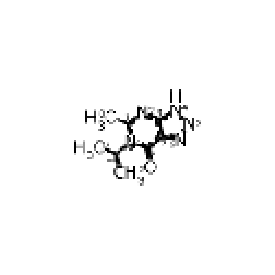 Cc1nc2[nH]nnc2c(=O)n1C(C)C